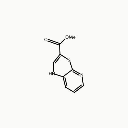 COC(=O)C1=CNc2cccnc2S1